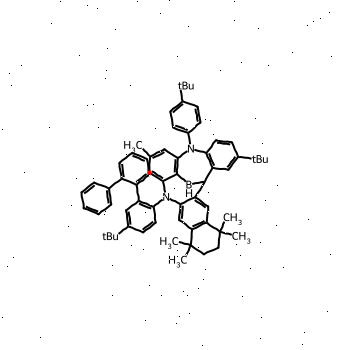 Cc1cc2c3c(c1)N(c1ccc(C(C)(C)C)cc1-c1ccccc1-c1ccccc1)c1cc4c(cc1C(B3)c1cc(C(C)(C)C)ccc1N2c1ccc(C(C)(C)C)cc1)C(C)(C)CCC4(C)C